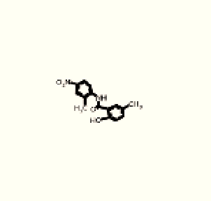 Cc1ccc(O)c(C(=O)Nc2ccc([N+](=O)[O-])cc2C)c1